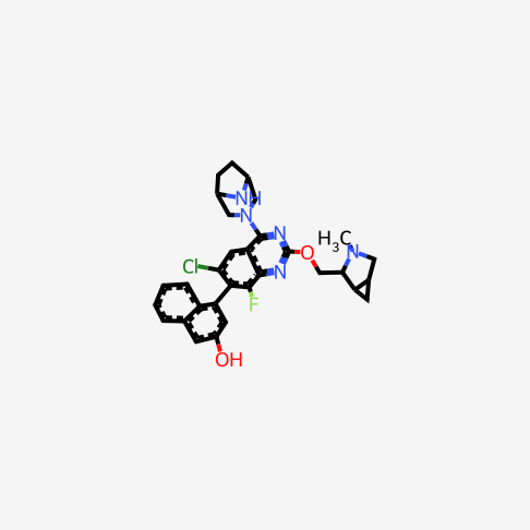 CN1CC2CC2C1COc1nc(N2CC3CCC(C2)N3)c2cc(Cl)c(-c3cc(O)cc4ccccc34)c(F)c2n1